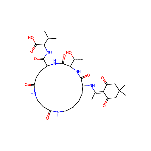 CC(NC1CCCCNC(=O)CCNC(=O)CCC(C(=O)NC(C(=O)O)C(C)C)NC(=O)C([C@@H](C)O)NC1=O)=C1C(=O)CC(C)(C)CC1=O